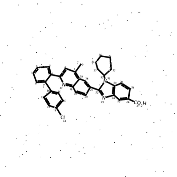 Cc1cc(-c2ccccc2-c2ccc(Cl)cc2)nc2ccc(-c3nc4cc(C(=O)O)ccc4n3C3CCCCC3)cc12